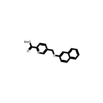 COC(=O)c1ccc(COc2ccc3ccccc3c2)cn1